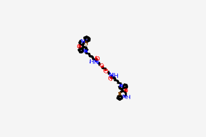 O=C(CCCCCN1C=CC2=C3CSc4ccccc4NCCC3Oc3cccc1c32)NCCOCCOCCNC(=O)CCCCCN1C=CC2=C3c4sc5ccccc5[n+]4CCC3Oc3cccc1c32